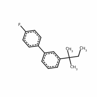 CCC(C)(C)c1cccc(-c2ccc(F)cc2)c1